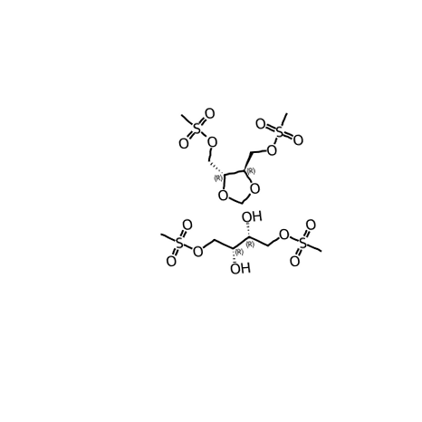 CS(=O)(=O)OC[C@@H](O)[C@H](O)COS(C)(=O)=O.CS(=O)(=O)OC[C@H]1OCO[C@@H]1COS(C)(=O)=O